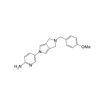 COc1ccc(CN2Cc3cn(-c4ccc(N)nc4)cc3C2)cc1